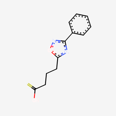 OC(=S)CCCc1nc(-c2ccccc2)no1